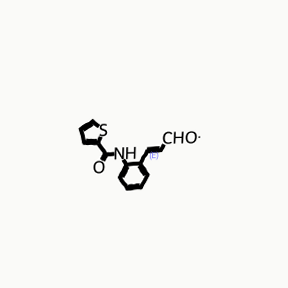 O=[C]/C=C/c1ccccc1NC(=O)c1cccs1